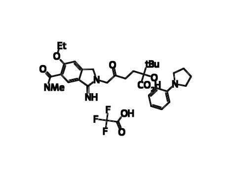 CCOc1cc2c(cc1C(=O)NC)C(=N)N(CC(=O)CCC(Oc1ccccc1N1CCCC1)(C(=O)O)C(C)(C)C)C2.O=C(O)C(F)(F)F